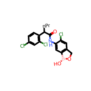 CCCC(C(=O)Nc1cc2c(cc1Cl)COB2O)c1ccc(Cl)cc1Cl